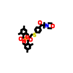 Cc1cc(C)c(C(=O)P(=O)(OCCSc2ccc(C(=O)C(C)(C)N3CCOCC3)cc2)C(=O)c2c(C)cc(C)cc2C)c(C)c1